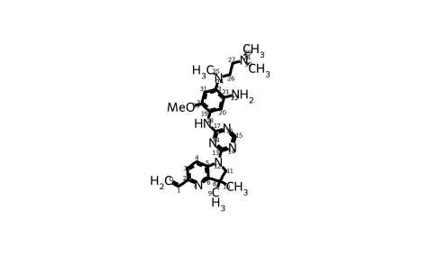 C=Cc1ccc2c(n1)C(C)(C)CN2c1ncnc(Nc2cc(N)c(N(C)CCN(C)C)cc2OC)n1